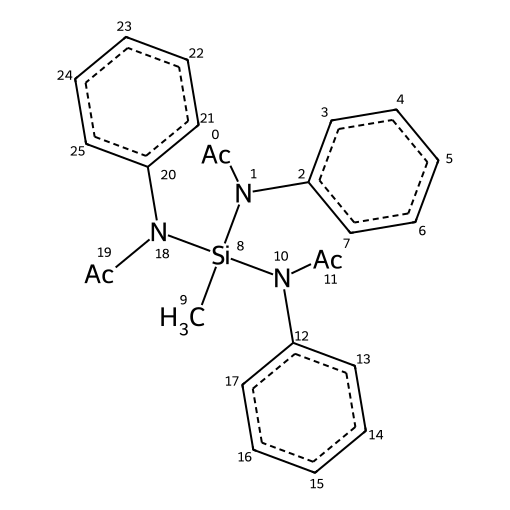 CC(=O)N(c1ccccc1)[Si](C)(N(C(C)=O)c1ccccc1)N(C(C)=O)c1ccccc1